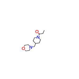 CCC(=O)N1CCC(CN2CCOCC2)CC1